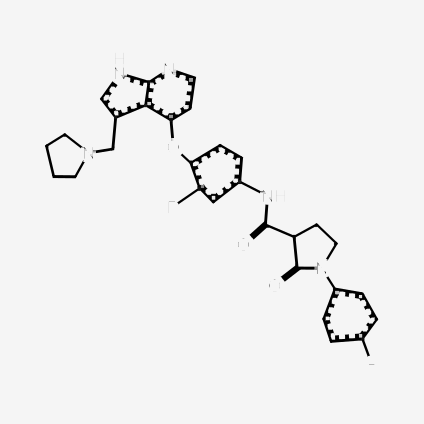 O=C(Nc1ccc(Oc2ccnc3[nH]cc(CN4CCCC4)c23)c(F)c1)C1CCN(c2ccc(F)cc2)C1=O